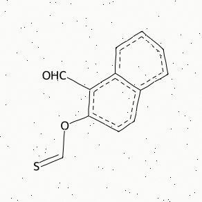 O=Cc1c(OC=S)ccc2ccccc12